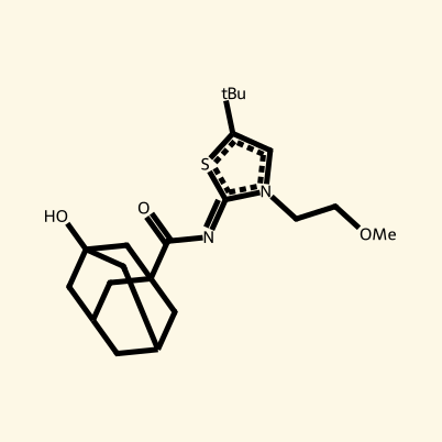 COCCn1cc(C(C)(C)C)s/c1=N\C(=O)C12CC3CC(CC(O)(C3)C1)C2